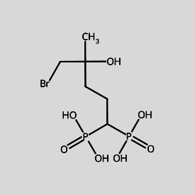 CC(O)(CBr)CCC(P(=O)(O)O)P(=O)(O)O